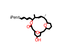 CCCC(C)C=C/C=C/C1OC(=O)CC2CC(O)CC(CC3CCCC(C[C@@H](C)/C=C/C1C)O3)O2